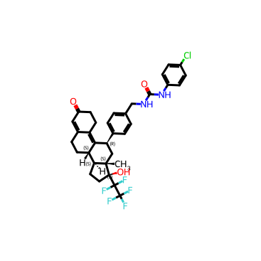 C[C@]12C[C@H](c3ccc(CNC(=O)Nc4ccc(Cl)cc4)cc3)C3=C4CCC(=O)C=C4CC[C@H]3[C@@H]1CC[C@@]2(O)C(F)(F)C(F)(F)F